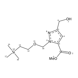 COC(=O)c1cc(CO)nn1COCC[Si](C)(C)C